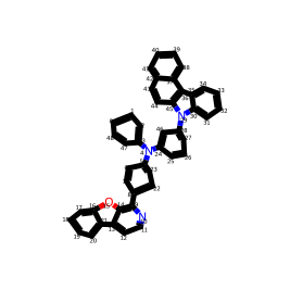 c1ccc(N(c2ccc(-c3nccc4c3oc3ccccc34)cc2)c2cccc(-n3c4ccccc4c4c5ccccc5ccc43)c2)cc1